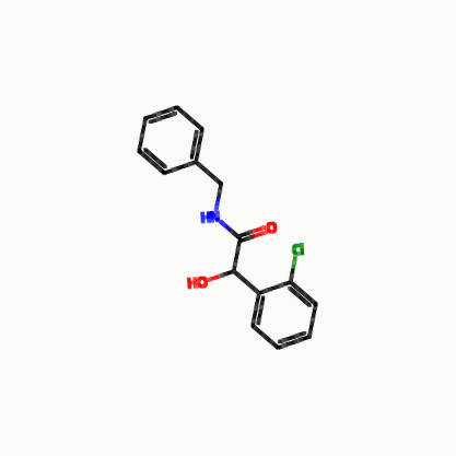 O=C(NCc1ccccc1)C(O)c1ccccc1Cl